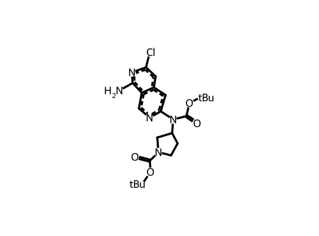 CC(C)(C)OC(=O)N1CCC(N(C(=O)OC(C)(C)C)c2cc3cc(Cl)nc(N)c3cn2)C1